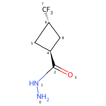 NNC(=O)[C@H]1C[C@H](C(F)(F)F)C1